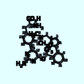 CN(C)Cc1ccc(-c2ccccc2C(Oc2cc(-c3ccc(CC(N)C(=O)O)cc3)nc(N)n2)C(F)(F)F)o1